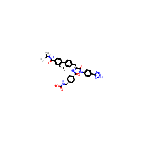 Cc1cc(C(=O)NC(C)C)ccc1-c1ccc(C[C@H](NC(=O)[C@H]2CC[C@H](CNC(=O)O)CC2)C(=O)Nc2ccc(-c3nn[nH]n3)cc2)cc1